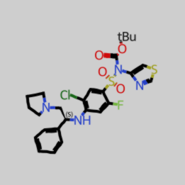 CC(C)(C)OC(=O)N(c1cscn1)S(=O)(=O)c1cc(Cl)c(N[C@H](CN2CCCC2)c2ccccc2)cc1F